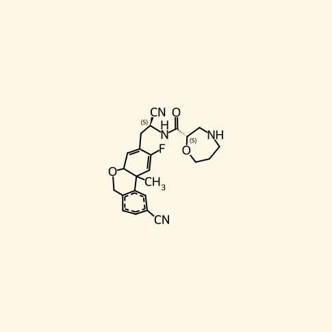 CC12C=C(F)C(C[C@@H](C#N)NC(=O)[C@@H]3CNCCCO3)=CC1OCc1ccc(C#N)cc12